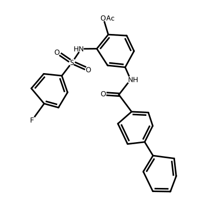 CC(=O)Oc1ccc(NC(=O)c2ccc(-c3ccccc3)cc2)cc1NS(=O)(=O)c1ccc(F)cc1